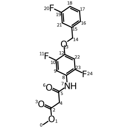 COC(=O)CC(=O)Nc1cc(F)c(OCc2cccc(F)c2)cc1F